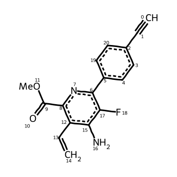 C#Cc1ccc(-c2nc(C(=O)OC)c(C=C)c(N)c2F)cc1